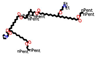 CCCCCC(CCCCC)CCOC(=O)CCCCCCCCCC(CCCCCCCCCC(=O)OCC(C(C)CCCC(CCCCC)CCOC(=O)CCCCCCCCCC1(CCCCCCCCCC(=O)OCCC(CCCCC)CCCCC)OCC(CN2CCCC2)O1)C(CCCCC)CCCCC)COCCCN(CC)CC